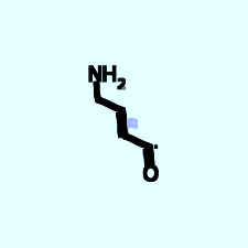 NC/C=C/[C]=O